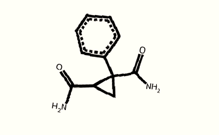 NC(=O)C1CC1(C(N)=O)c1ccccc1